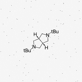 CC(C)(C)N1C[C@H]2CN(C(C)(C)C)C[C@H]2C1